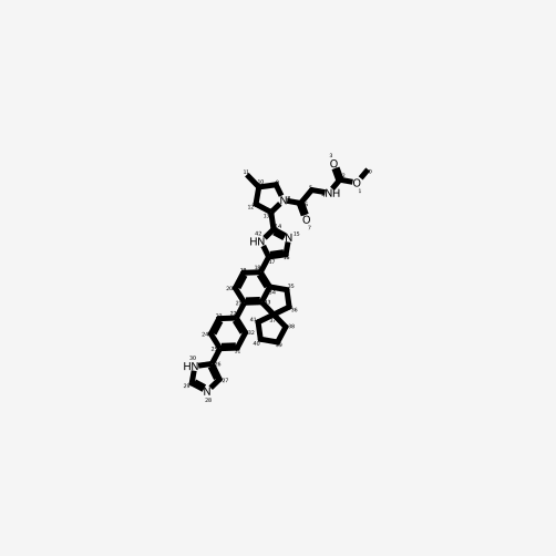 COC(=O)NCC(=O)N1CC(C)CC1c1ncc(-c2ccc(-c3ccc(-c4cnc[nH]4)cc3)c3c2CCC32CCCC2)[nH]1